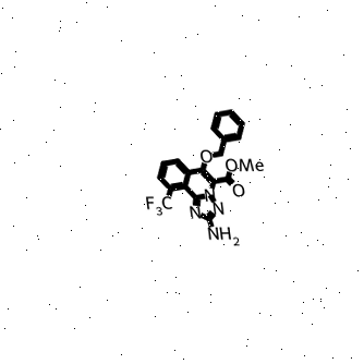 COC(=O)c1c(OCc2ccccc2)c2cccc(C(F)(F)F)c2c2nc(N)nn12